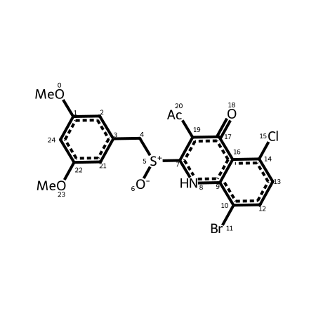 COc1cc(C[S+]([O-])c2[nH]c3c(Br)ccc(Cl)c3c(=O)c2C(C)=O)cc(OC)c1